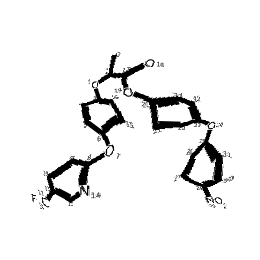 CC(Oc1ccc(Oc2ccc(C(F)(F)F)cn2)cc1)C(=O)Oc1ccc(Oc2ccc([N+](=O)[O-])cc2)cc1